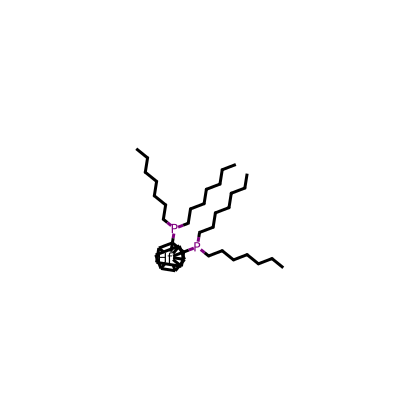 CCCCCCCP(CCCCCCC)[C]12[CH]3[CH]4[CH]5[C]1(P(CCCCCCC)CCCCCCC)[Hf]43521678[CH]2[CH]1[CH]6[CH]7[CH]28